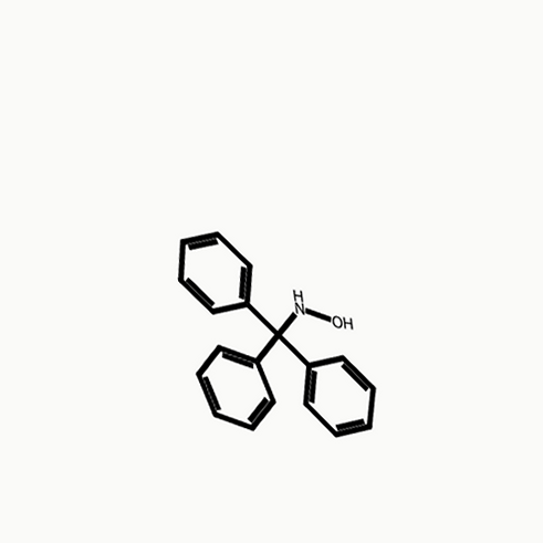 ONC(c1ccccc1)(c1ccccc1)c1ccccc1